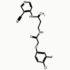 C=C(CCNC(=O)COc1ccc(Cl)c(F)c1)Nc1ccncc1C#N